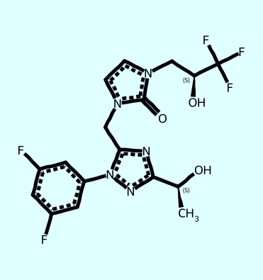 C[C@H](O)c1nc(Cn2ccn(C[C@H](O)C(F)(F)F)c2=O)n(-c2cc(F)cc(F)c2)n1